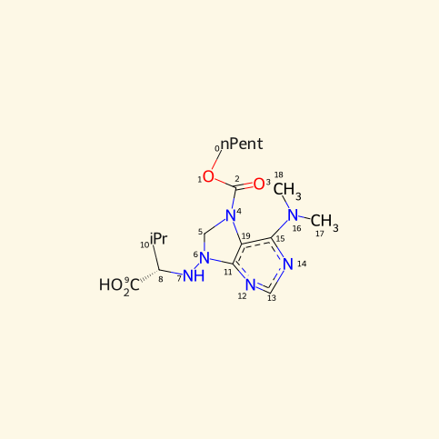 CCCCCOC(=O)N1CN(N[C@H](C(=O)O)C(C)C)c2ncnc(N(C)C)c21